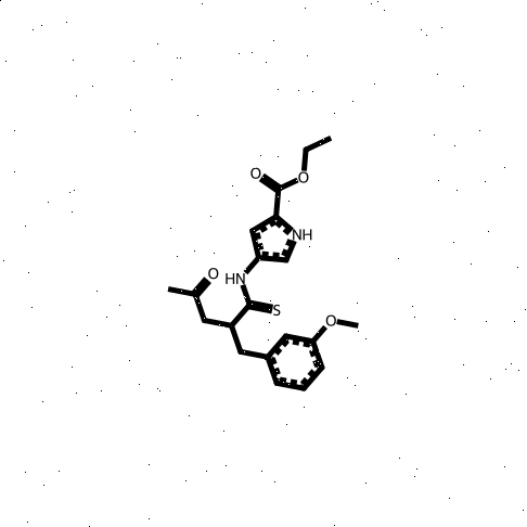 CCOC(=O)c1cc(NC(=S)C(CC(C)=O)Cc2cccc(OC)c2)c[nH]1